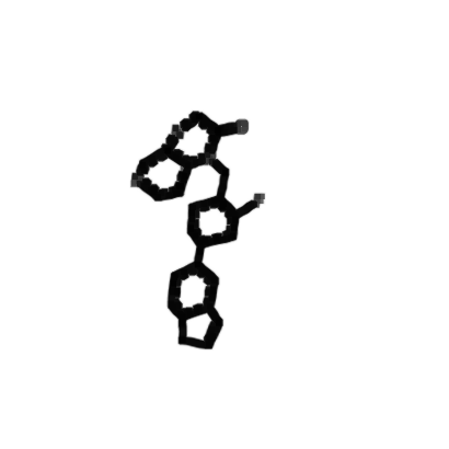 O=c1cnc2cnccc2n1Cc1ccc(-c2ccc3c(c2)C=CC3)cc1F